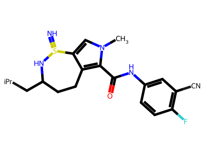 CC(C)CC1CCc2c(cn(C)c2C(=O)Nc2ccc(F)c(C#N)c2)S(=N)N1